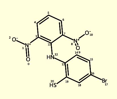 O=[N+]([O-])c1cccc([N+](=O)[O-])c1Nc1ccc(Br)cc1S